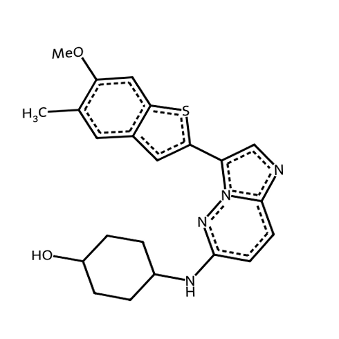 COc1cc2sc(-c3cnc4ccc(NC5CCC(O)CC5)nn34)cc2cc1C